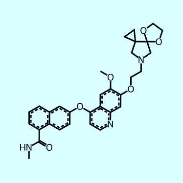 CNC(=O)c1cccc2cc(Oc3ccnc4cc(OCCN5CC6(CC6)C6(C5)OCCO6)c(OC)cc34)ccc12